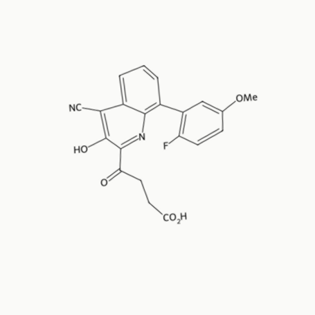 COc1ccc(F)c(-c2cccc3c(C#N)c(O)c(C(=O)CCC(=O)O)nc23)c1